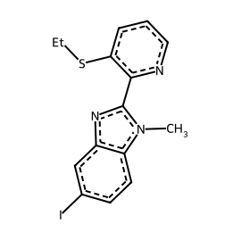 CCSc1cccnc1-c1nc2cc(I)ccc2n1C